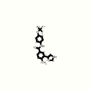 Cc1ccc(C(=O)Nc2ccc(OC(F)(F)F)cc2)cc1C1=CNCS1